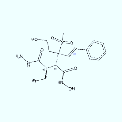 CC(C)C[C@@H](C(=O)NN)[C@@H](C(=O)NO)C(/C=C/c1ccccc1)(CCO)S(C)(=O)=O